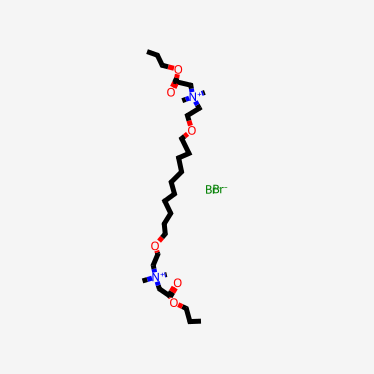 CCCOC(=O)C[N+](C)(C)CCOCCCCCCCCCCOCC[N+](C)(C)CC(=O)OCCC.[Br-].[Br-]